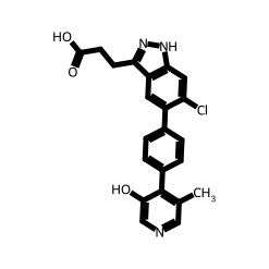 Cc1cncc(O)c1-c1ccc(-c2cc3c(CCC(=O)O)n[nH]c3cc2Cl)cc1